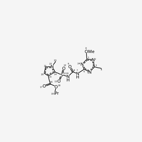 COc1nc(C)nc(NC(=O)NS(=O)(=O)c2c(C(=O)OC(C)C)ccn2C)n1